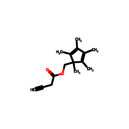 C#CCC(=O)OCC1(C)C(C)=C(C)C(C)=C1C